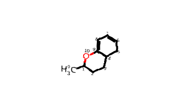 CC1CCC2CC=CC=C2O1